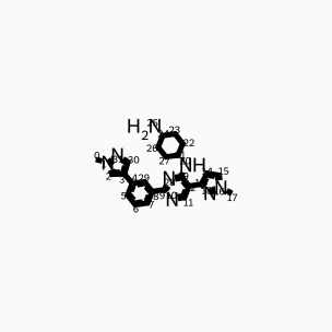 Cn1cc(-c2cccc(-c3ncc(-c4ccn(C)n4)c(N[C@H]4CC[C@@H](N)CC4)n3)c2)cn1